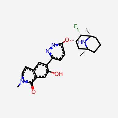 Cn1ccc2cc(-c3ccc(O[C@H]4C[C@]5(C)CCC[C@@](C)(N5)[C@H]4F)nn3)c(O)cc2c1=O